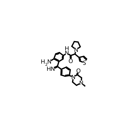 CN1CCN(c2ccc(C(=N)c3cc(NC(=O)C(c4ccsc4)N4CCCC4)ccc3N)cc2)C(=O)C1